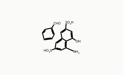 Nc1cc(S(=O)(=O)O)cc2cc(S(=O)(=O)O)cc(O)c12.O=Cc1ccccc1